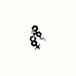 NC1CCC(C(=O)N2CCc3ccc(C(F)(F)F)cc3C2)(c2ccccn2)C1